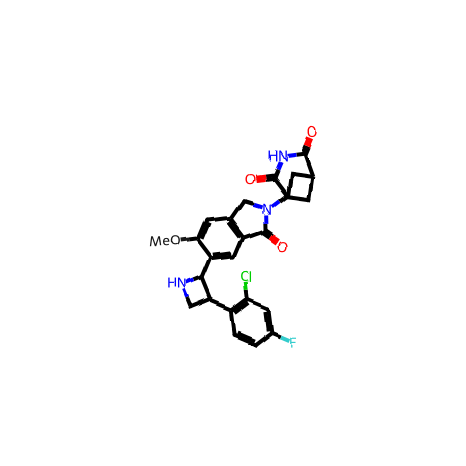 COc1cc2c(cc1C1NCC1c1ccc(F)cc1Cl)C(=O)N(C13CC(C1)C(=O)NC3=O)C2